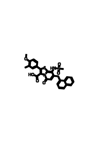 COc1ccc(-c2sc3c(NS(C)(=O)=O)c(Cc4cccc5ccccc45)cc(=O)n3c2C(=O)O)cc1C